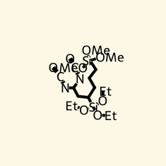 CCO[Si](OCC)(OCC)C(CCC[Si](OC)(OC)OC)CC(N=C=O)N=C=O